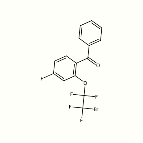 O=C(c1ccccc1)c1ccc(F)cc1OC(F)(F)C(F)(F)Br